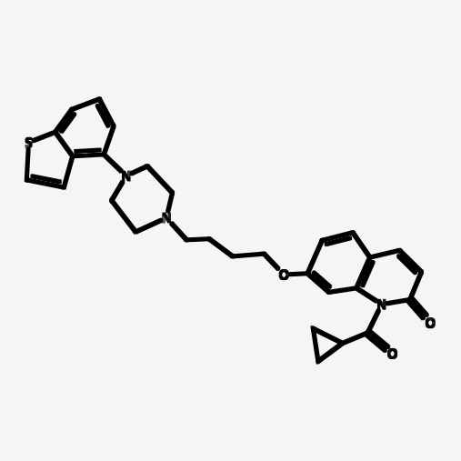 O=C(C1CC1)n1c(=O)ccc2ccc(OCCCCN3CCN(c4cccc5sccc45)CC3)cc21